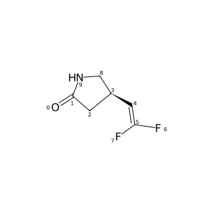 O=C1C[C@H](C=C(F)F)CN1